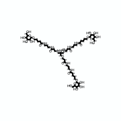 CC(C)(C)NC(COCCC(=O)NCCCNC(=O)CCCCOC1OC(CO)C(O)C(O)C1O)(COCCC(=O)NCCCNC(=O)CCCCOC1OC(CO)C(O)C(O)C1O)COCCC(=O)NCCCNC(=O)CCCCOC1OC(CO)C(O)C(O)C1O